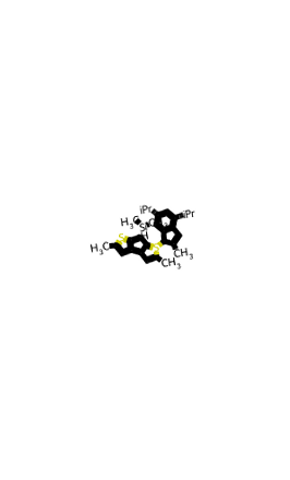 CC1=Cc2c(C(C)C)cc(C(C)C)cc2C1S1=C2C(=c3cc(C)sc3=C2[SiH](C)C)C=C1C